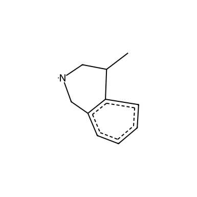 CC1C[N]Cc2ccccc21